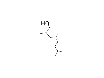 CC(C)CCC(C)CC(C)CO